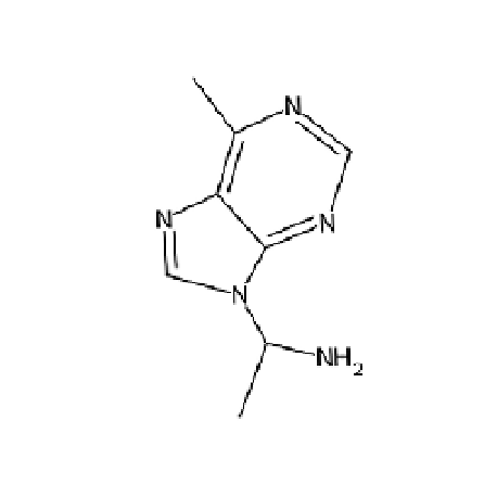 Cc1ncnc2c1ncn2C(C)N